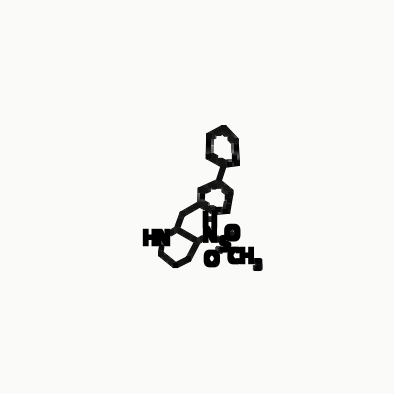 CS(=O)(=O)NC1CCCNC1Cc1cccc(-c2ccccc2)c1